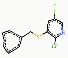 Fc1cnc(Cl)c(SCc2ccccc2)c1